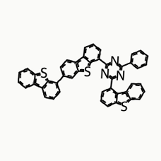 c1ccc(-c2nc(-c3cccc4c3sc3cc(-c5cccc6c5sc5ccccc56)ccc34)nc(-c3cccc4sc5ccccc5c34)n2)cc1